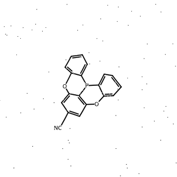 N#Cc1cc2c3c(c1)Oc1ccccc1P3c1ccccc1O2